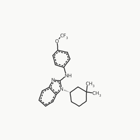 CC1(C)CCC[C@H](n2c(Nc3ccc(OC(F)(F)F)cc3)nc3ccccc32)C1